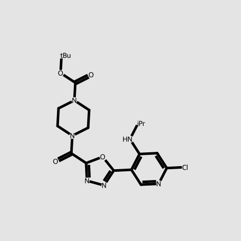 CC(C)Nc1cc(Cl)ncc1-c1nnc(C(=O)N2CCN(C(=O)OC(C)(C)C)CC2)o1